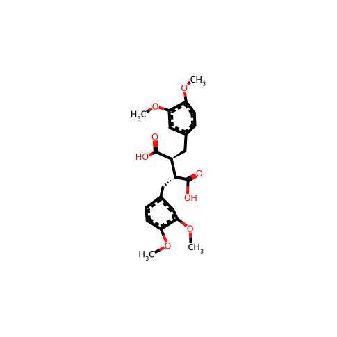 COc1ccc(C[C@H](C(=O)O)[C@@H](Cc2ccc(OC)c(OC)c2)C(=O)O)cc1OC